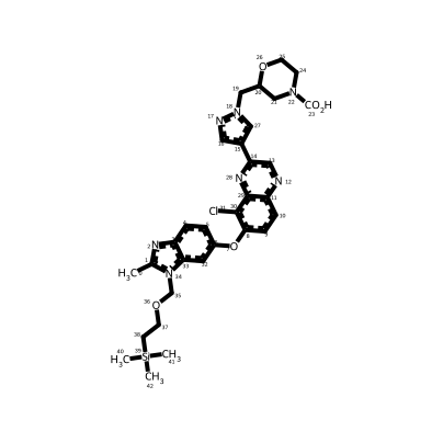 Cc1nc2ccc(Oc3ccc4ncc(-c5cnn(CC6CN(C(=O)O)CCO6)c5)nc4c3Cl)cc2n1COCC[Si](C)(C)C